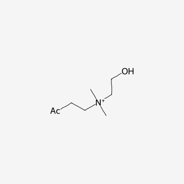 CC(=O)CC[N+](C)(C)CCO